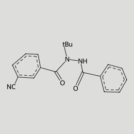 CC(C)(C)N(NC(=O)c1ccccc1)C(=O)c1cccc(C#N)c1